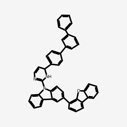 C1=CC(c2ccc(-c3cccc(-c4ccccc4)c3)cc2)NC(n2c3ccccc3c3cc(-c4cccc5c4oc4ccccc45)ccc32)=N1